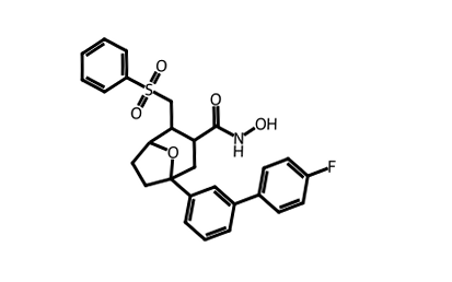 O=C(NO)C1CC2(c3cccc(-c4ccc(F)cc4)c3)CCC(O2)C1CS(=O)(=O)c1ccccc1